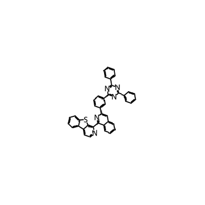 c1ccc(-c2nc(-c3ccccc3)nc(-c3cccc(-c4cc5ccccc5c(-c5nccc6c5sc5ccccc56)n4)c3)n2)cc1